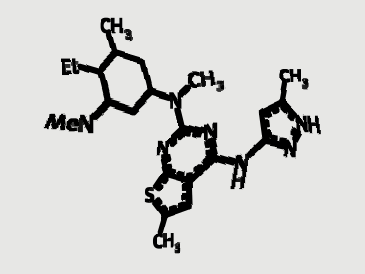 CCC1C(C)CC(N(C)c2nc(Nc3cc(C)[nH]n3)c3cc(C)sc3n2)CC1NC